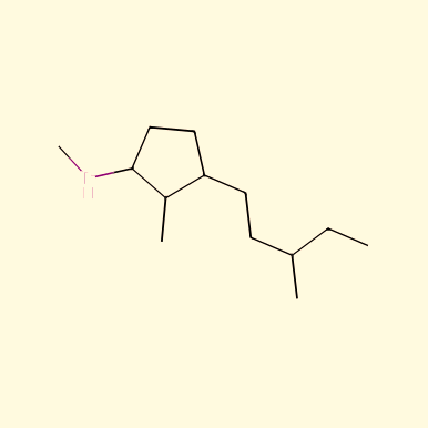 CCC(C)CCC1CCC(PC)C1C